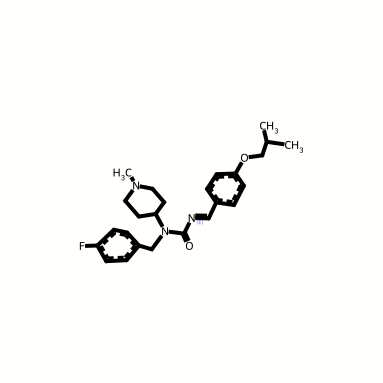 CC(C)COc1ccc(/C=N/C(=O)N(Cc2ccc(F)cc2)C2CCN(C)CC2)cc1